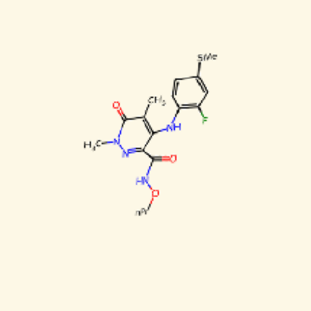 CCCONC(=O)c1nn(C)c(=O)c(C)c1Nc1ccc(SC)cc1F